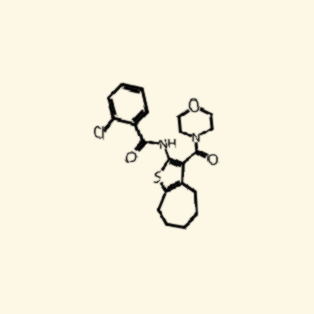 O=C(Nc1sc2c(c1C(=O)N1CCOCC1)CCCCC2)c1ccccc1Cl